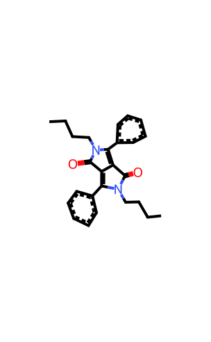 CCCCN1C(=O)C2=C(c3ccccc3)N(CCCC)C(=O)C2=C1c1ccccc1